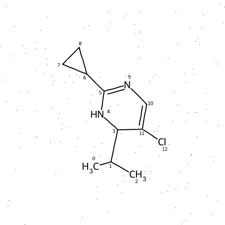 CC(C)C1NC(C2CC2)=NC=C1Cl